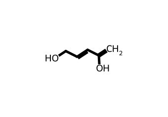 C=C(O)C=CCO